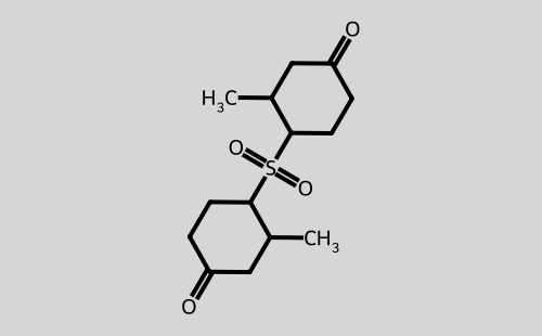 CC1CC(=O)CCC1S(=O)(=O)C1CCC(=O)CC1C